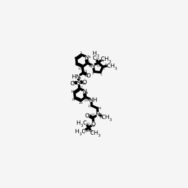 CC1CCN(c2ncccc2C(=O)NS(=O)(=O)c2cccc(NCCN(C)C(=O)OC(C)(C)C)n2)C1(C)C